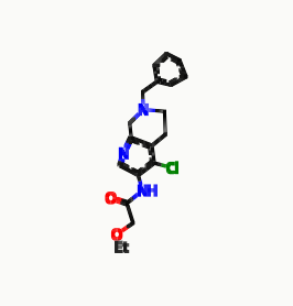 CCOCC(=O)Nc1cnc2c(c1Cl)CCN(Cc1ccccc1)C2